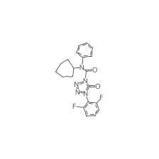 O=C(N(c1ccccc1)C1CCCCC1)n1nnn(-c2c(F)cccc2F)c1=O